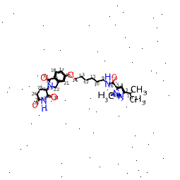 CC(C)c1cc(C(=O)NCCCCCCOc2ccc3c(c2)CN(C2CCC(=O)NC2=O)C3=O)n(C)n1